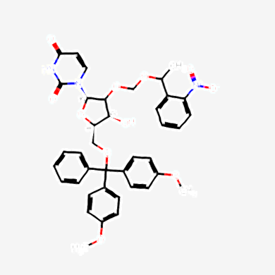 COc1ccc(C(OC[C@H]2O[C@@H](n3ccc(=O)[nH]c3=O)C(OCOC(C)c3ccccc3[N+](=O)[O-])[C@H]2O)(c2ccccc2)c2ccc(OC)cc2)cc1